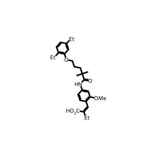 CCC(=Cc1ccc(NC(=O)C(C)(C)CCCOc2cc(CC)ccc2CC)cc1OC)C(=O)O